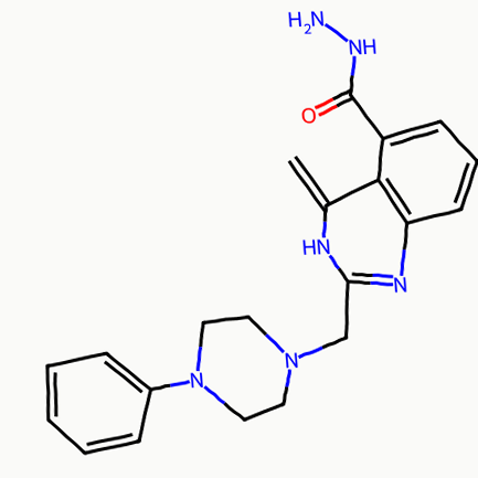 C=C1NC(CN2CCN(c3ccccc3)CC2)=Nc2cccc(C(=O)NN)c21